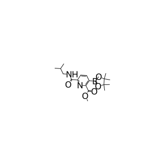 COC(=O)c1nc(C(=O)NCC(C)C)ccc1B1OC(C)(C)C(C)(C)O1